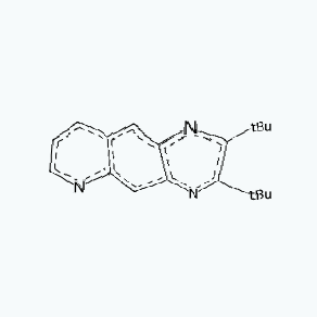 CC(C)(C)c1nc2cc3cccnc3cc2nc1C(C)(C)C